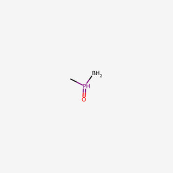 B[PH](C)=O